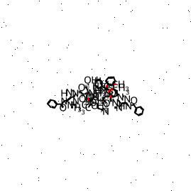 CC(C)(C)[Si](C)(C)O[C@@H]1[C@H](NC(c2ccccc2)(c2ccccc2)c2ccccc2)[C@@H](COP(=S)(N[C@H]2[C@@H](O[Si](C)(C)C(C)(C)C)[C@H](n3cnc4c(NC(=O)c5ccccc5)ncnc43)O[C@@H]2CO)OCCC#N)O[C@H]1n1cnc2c(NC(=O)c3ccccc3)ncnc21